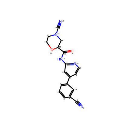 N#Cc1cccc(-c2ccnc(NC(=O)C3CN(C#N)CCO3)c2)c1